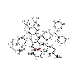 CC(C)(C)c1ccc(N2c3cc(N(c4ccccc4)c4ccccc4)ccc3B3c4cc5c(cc4N(c4ccc6c(c4)C(C)(C)CCC6(C)C)c4cc(C(C)(C)C)cc2c43)C(C)(C)CCC5(C)C)c(-c2ccccc2)c1